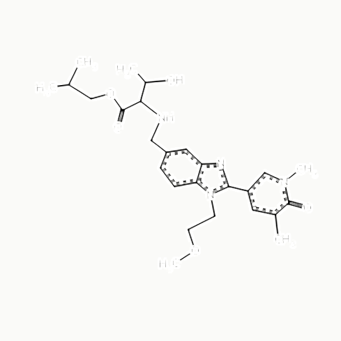 COCCn1c(-c2cc(C)c(=O)n(C)c2)nc2cc(CNC(C(=O)OCC(C)C)C(C)O)ccc21